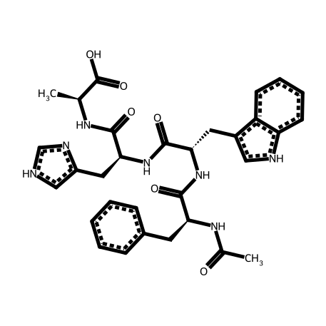 CC(=O)N[C@@H](Cc1ccccc1)C(=O)N[C@@H](Cc1c[nH]c2ccccc12)C(=O)N[C@@H](Cc1c[nH]cn1)C(=O)N[C@@H](C)C(=O)O